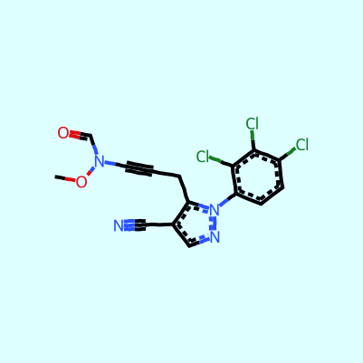 CON(C#CCc1c(C#N)cnn1-c1ccc(Cl)c(Cl)c1Cl)C=O